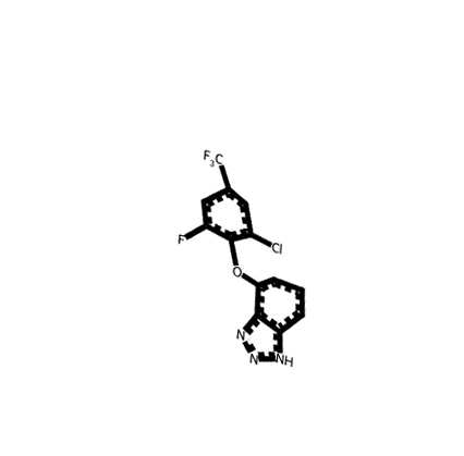 Fc1cc(C(F)(F)F)cc(Cl)c1Oc1cccc2[nH]nnc12